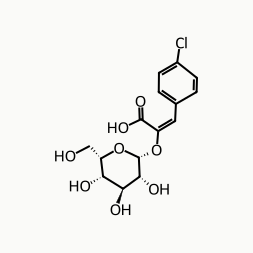 O=C(O)/C(=C\c1ccc(Cl)cc1)O[C@H]1O[C@@H](CO)[C@@H](O)[C@H](O)[C@H]1O